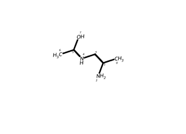 CC(N)CNC(C)O